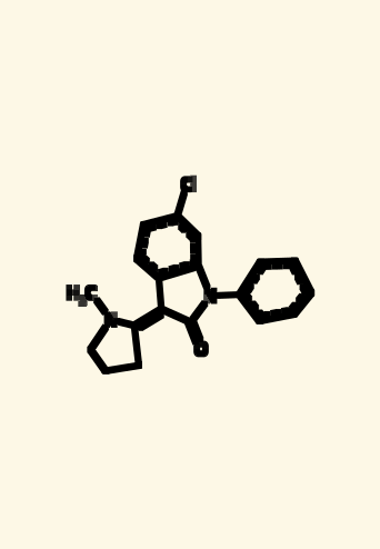 CN1CCCC1=C1C(=O)N(c2ccccc2)c2cc(Cl)ccc21